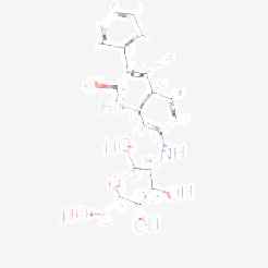 Cc1c(-c2ccccc2)c(=O)[nH]c2cc(NC3C(O)OC(CO)[C@@H](O)C3O)ccc12